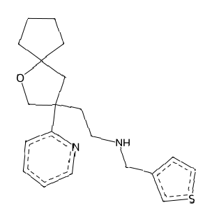 c1ccc(C2(CCNCc3ccsc3)COC3(CCCC3)C2)nc1